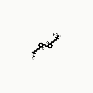 CC(C)(CCCCC1CCCC(CCC2CCCC(CCCCC(C)(C)C(=O)O)C2=O)C1=O)OC=O